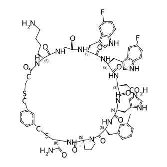 Cc1cccc(C[C@@H]2NC(=O)[C@H](Cc3cnc[nH]3)NC(=O)[C@H](CC(=O)O)NC(=O)[C@H](Cc3c[nH]c4ccc(F)cc34)NC(=O)[C@H](Cc3c[nH]c4ccc(F)cc34)NC(=O)CNC(=O)[C@H](CCCCN)NC(=O)CCSCc3cccc(c3)CSC[C@@H](C(N)=O)NC(=O)[C@]3(C)CCCN3C2=O)c1